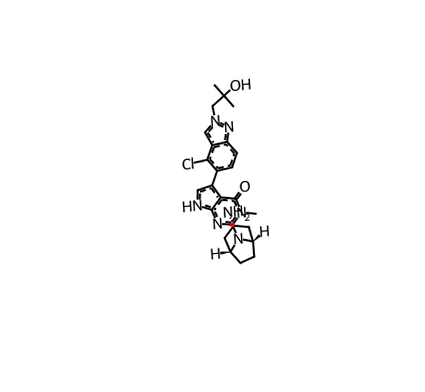 Cn1c(N2[C@@H]3CC[C@H]2C[C@@H](N)C3)nc2[nH]cc(-c3ccc4nn(CC(C)(C)O)cc4c3Cl)c2c1=O